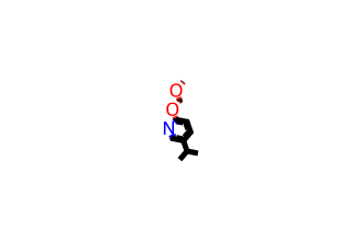 COCOc1ccc(C(C)C)cn1